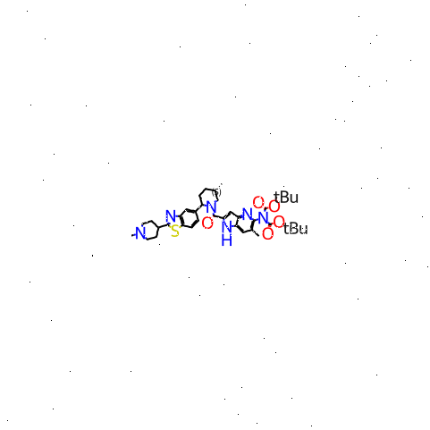 Cc1cc2[nH]c(C(=O)N3C[C@@H](C)CCC3c3ccc4sc(C5CCN(C)CC5)nc4c3)cc2nc1N(C(=O)OC(C)(C)C)C(=O)OC(C)(C)C